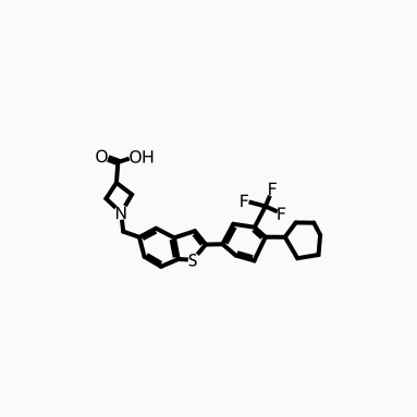 O=C(O)C1CN(Cc2ccc3sc(-c4ccc(C5CCCCC5)c(C(F)(F)F)c4)cc3c2)C1